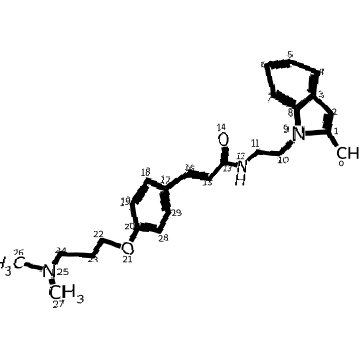 Cc1cc2ccccc2n1CCNC(=O)/C=C/c1ccc(OCCCN(C)C)cc1